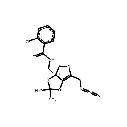 CC1(C)OC2=C(CN=[N+]=[N-])OC[C@]2(CNC(=O)c2ccccc2Cl)O1